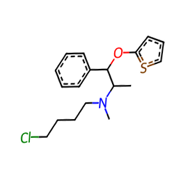 CC(C(Oc1cccs1)c1ccccc1)N(C)CCCCCl